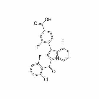 O=C(O)c1ccc(-c2cc(C(=O)c3c(F)cccc3Cl)n3cccc(F)c23)c(F)c1